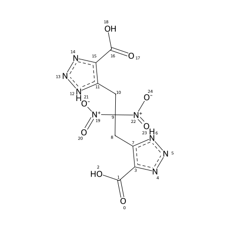 O=C(O)c1nn[nH]c1CC(Cc1[nH]nnc1C(=O)O)([N+](=O)[O-])[N+](=O)[O-]